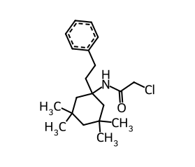 CC1(C)CC(C)(C)CC(CCc2ccccc2)(NC(=O)CCl)C1